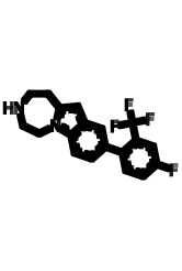 Fc1ccc(-c2ccc3c(c2)cc2n3CCNCC2)c(C(F)(F)F)c1